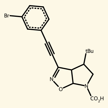 CC(C)(C)C1CN(C(=O)O)C2ON=C(C#Cc3cccc(Br)c3)C21